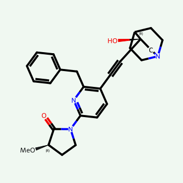 CO[C@@H]1CCN(c2ccc(C#C[C@@]3(O)CN4CCC3CC4)c(Cc3ccccc3)n2)C1=O